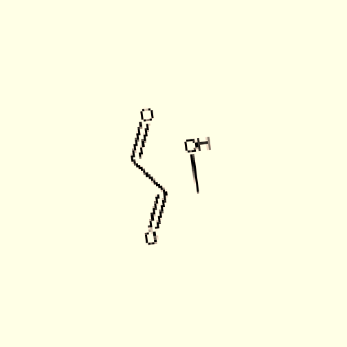 CO.O=CC=O